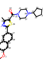 COc1ccc2cc(-c3nc(C)c(C(=O)N4CCN(C5CCCC5)CC4)s3)ccc2c1